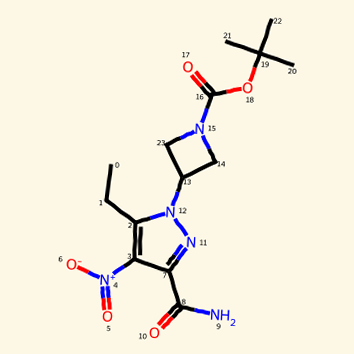 CCc1c([N+](=O)[O-])c(C(N)=O)nn1C1CN(C(=O)OC(C)(C)C)C1